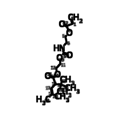 C=CC(=O)OCCNC(=O)OCCOC(=O)C(C=C(C)C)C(C)(C)C